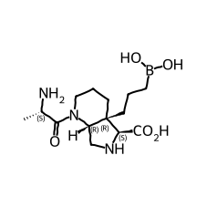 C[C@H](N)C(=O)N1CCC[C@]2(CCCB(O)O)[C@@H](C(=O)O)NC[C@H]12